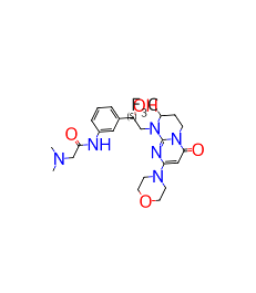 CN(C)CC(=O)Nc1cccc([C@H](O)CN2c3nc(N4CCOCC4)cc(=O)n3CCC2C(F)(F)F)c1